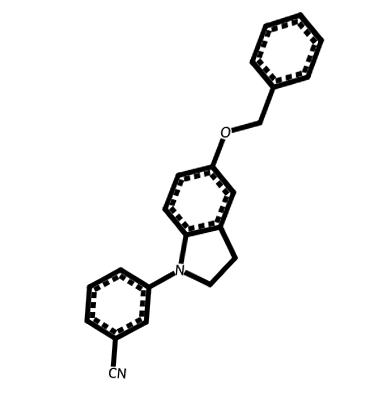 N#Cc1cccc(N2CCc3cc(OCc4ccccc4)ccc32)c1